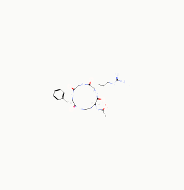 CC[C@@H]1NC(=O)[C@H](CCCNC(=N)N)NC(=O)[C@](C)(NC(=O)C(C)C)CCNC(=O)[C@@H](Cc2ccccc2)NC1=O